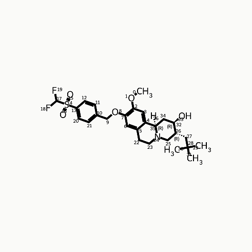 COc1cc2c(cc1OCc1ccc(S(=O)(=O)C(F)F)cc1)CCN1C[C@@H](CC(C)(C)C)[C@H](O)C[C@H]21